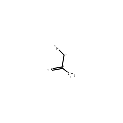 CC(=S)CF